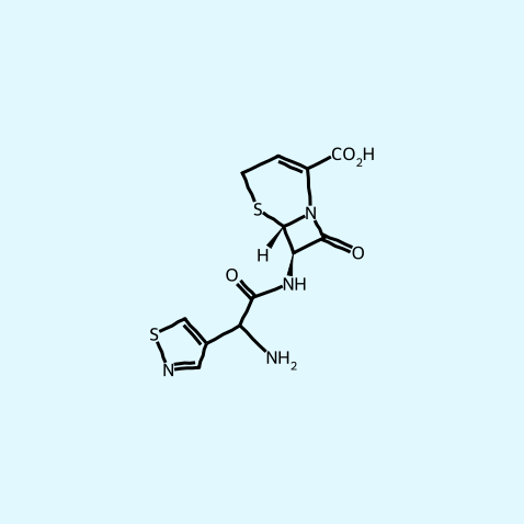 NC(C(=O)N[C@@H]1C(=O)N2C(C(=O)O)=CCS[C@@H]12)c1cnsc1